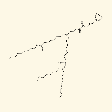 CCCCCCCCCOC(=O)CCCCCCCN(CCCCCCCC(=O)OC(CCCCCCCC)CCCCCCCI)CCCNC(=O)COCc1ccccc1